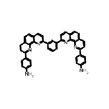 Nc1ccc(C2=Nc3c(ccc4ccc(-c5cccc(-c6ccc7ccc8ccc(-c9ccc(N)cc9)nc8c7n6)c5)nc34)CC2)cc1